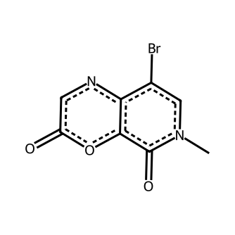 Cn1cc(Br)c2ncc(=O)oc2c1=O